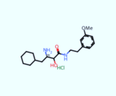 COc1cccc(CCNC(=O)C(O)[C@H](N)CC2CCCCC2)c1.Cl